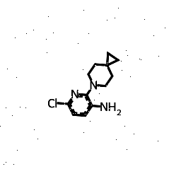 Nc1ccc(Cl)nc1N1CCC2(CC1)CC2